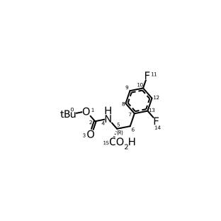 CC(C)(C)OC(=O)N[C@H](Cc1ccc(F)cc1F)C(=O)O